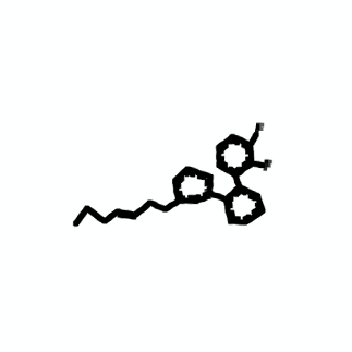 CCCC=CCCc1cccc(-c2ccccc2-c2cccc(F)c2F)c1